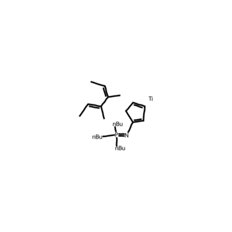 CC=C(C)C(C)=CC.CCCCP(CCCC)(CCCC)=NC1=CC=CC1.[Ti]